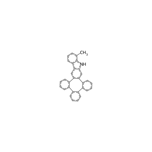 Cc1cccc2c1[nH]c1cc3c(cc12)-c1ccccc1-c1ccccc1-c1ccccc1-3